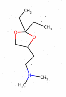 CCC1(CC)OCC(CCN(C)C)O1